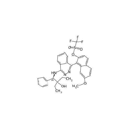 CCC(O)(CC)[C@H](Nc1nnc(-c2c(OS(=O)(=O)C(F)(F)F)ccc3ccc(OC)cc23)c2ccccc12)c1ccccc1